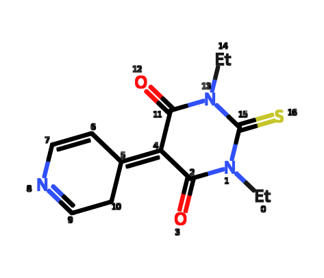 CCN1C(=O)C(=C2C=CN=CC2)C(=O)N(CC)C1=S